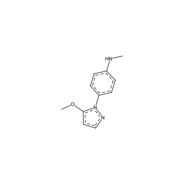 CNc1ccc(-n2nccc2OC)cc1